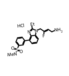 CCc1nc2c(-c3cccc(S(=O)(=O)NC)c3)cccc2n1CC(F)=CCN.Cl